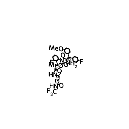 COC(=O)N(C(=O)[C@@H](N)[C@H](c1ccc(F)cc1)c1cccc(OC)c1)c1cccc(F)c1CC[C@@H]1CN[C@H](COC(=O)NCC(F)(F)F)CO1